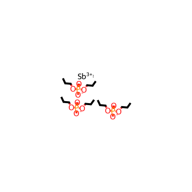 CCCOP(=O)([O-])OCCC.CCCOP(=O)([O-])OCCC.CCCOP(=O)([O-])OCCC.[Sb+3]